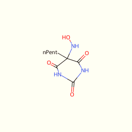 CCCCCC1(NO)C(=O)NC(=O)NC1=O